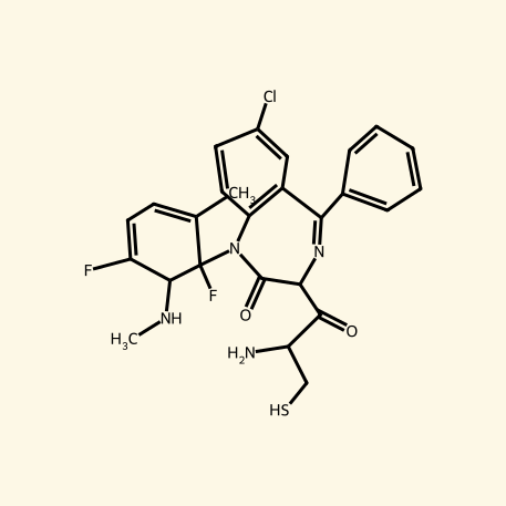 CNC1C(F)=CC=C(C)C1(F)N1C(=O)C(C(=O)C(N)CS)N=C(c2ccccc2)c2cc(Cl)ccc21